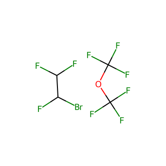 FC(F)(F)OC(F)(F)F.FC(F)C(F)Br